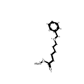 CCCCCCCCCOC(=O)CCCCCOCc1ccccc1